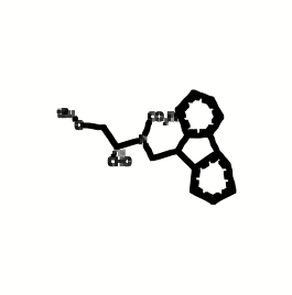 CCOC(=O)N(CC1c2ccccc2-c2ccccc21)[C@H](C=O)COC(C)(C)C